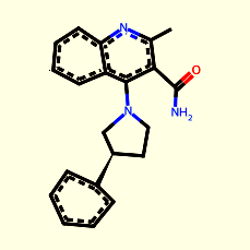 Cc1nc2cc[c]cc2c(N2CC[C@@H](c3ccccc3)C2)c1C(N)=O